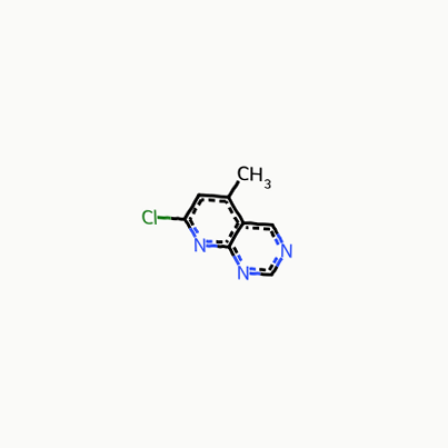 Cc1cc(Cl)nc2ncncc12